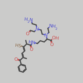 C/C(=C\C=C(/S)C(C)C(=O)NCCCC(C(=O)O)N(CCN)CCN(CC=O)CCN)C(=O)c1ccccc1